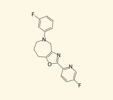 Fc1ccc(-c2nc3c(o2)CCCN(c2cccc(F)c2)C3)nc1